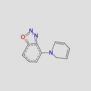 C1=CCN(c2cccc3onnc23)C=C1